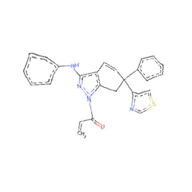 C=CC(=O)n1nc(Nc2ccccc2)c2c1CC(c1ccccc1)(c1cscn1)C=C2